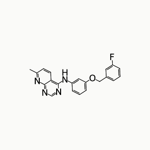 Cc1ccc2c(Nc3cccc(OCc4cccc(F)c4)c3)ncnc2n1